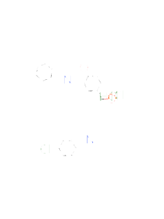 Cl.Cl.O=C(CCC1CCN(Cc2ccc(Cl)cc2)CC1)c1ccc2c(c1)CN(Cc1ccccc1)CCO2